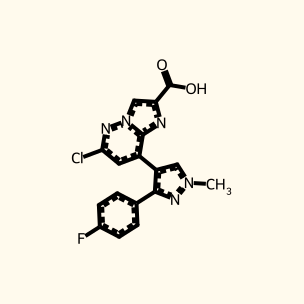 Cn1cc(-c2cc(Cl)nn3cc(C(=O)O)nc23)c(-c2ccc(F)cc2)n1